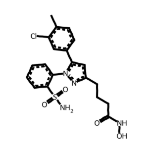 Cc1ccc(-c2cc(CCCC(=O)NO)nn2-c2ccccc2S(N)(=O)=O)cc1Cl